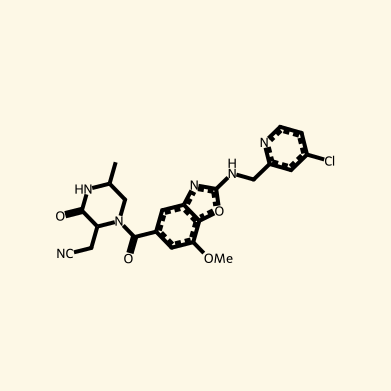 COc1cc(C(=O)N2CC(C)NC(=O)C2CC#N)cc2nc(NCc3cc(Cl)ccn3)oc12